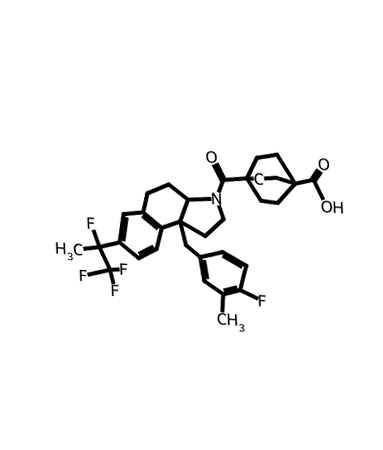 Cc1cc(CC23CCN(C(=O)C45CCC(C(=O)O)(CC4)CC5)C2CCc2cc(C(C)(F)C(F)(F)F)ccc23)ccc1F